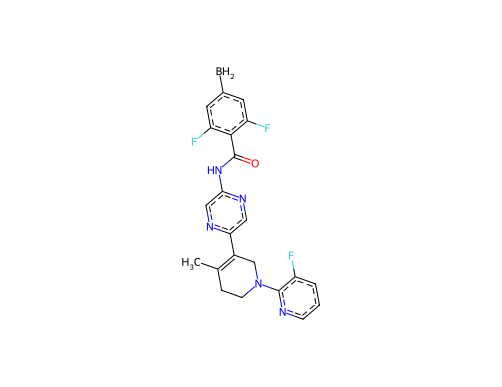 Bc1cc(F)c(C(=O)Nc2cnc(C3=C(C)CCN(c4ncccc4F)C3)cn2)c(F)c1